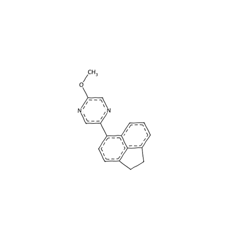 COc1cnc(-c2ccc3c4c(cccc24)CC3)cn1